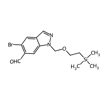 C[Si](C)(C)CCOCn1ncc2cc(Br)c(C=O)cc21